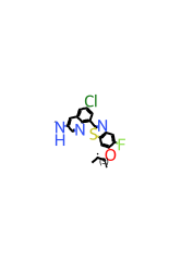 C[CH][C@H](C)Oc1cc2sc(-c3cc(Cl)cc4cc(NC)cnc34)nc2cc1F